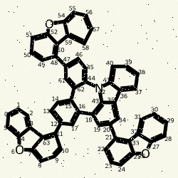 c1ccc2c(c1)oc1cccc(-c3ccc4c(c3)-c3cc(-c5cccc6oc7ccccc7c56)cc5c6ccccc6n(c35)-c3ccc(-c5cccc6oc7ccccc7c56)cc3-4)c12